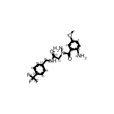 COc1ccc(N)c(C(=O)N(N)CC(=O)NCc2ccc(C(F)(F)F)cc2)c1